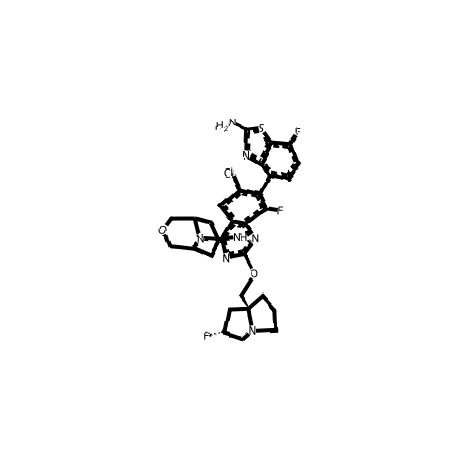 Nc1nc2c(-c3c(Cl)cc4c(N5C6COCC5CC(N)C6)nc(OC[C@@]56CCCN5C[C@H](F)C6)nc4c3F)ccc(F)c2s1